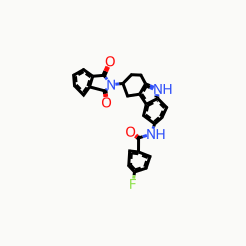 O=C(Nc1ccc2[nH]c3c(c2c1)CC(N1C(=O)c2ccccc2C1=O)CC3)c1ccc(F)cc1